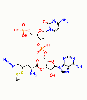 CC(C)SSC(CN=[N+]=[N-])CC(N)C(=O)O[C@H]1[C@@H](O)[C@H](n2cnc3c(N)ncnc32)O[C@H]1COP(=O)(O)O[C@H]1C[C@H](n2ccc(N)nc2=O)O[C@@H]1COP(=O)(O)O